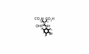 Cc1cc(C)c(NC(C=O)N(CC(=O)O)CC(=O)O)c(C)c1Br